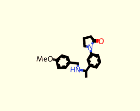 COc1ccc(CNC(C)c2cccc(N3CCCC3=O)c2)cc1